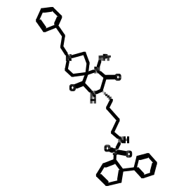 CCCN1C(=O)[C@H](CCCCNS(=O)(=O)c2ccccc2-c2ccccc2)NC(=O)C12CCN(CCc1ccccc1)CC2